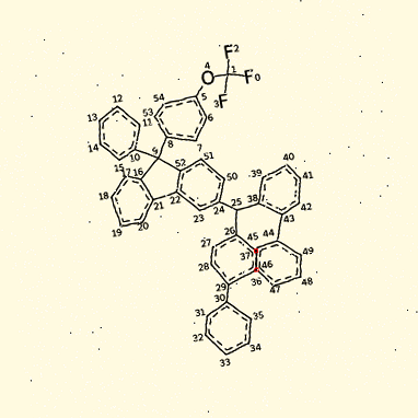 FC(F)(F)Oc1ccc(C2(c3ccccc3)c3ccccc3-c3cc(C(c4ccc(-c5ccccc5)cc4)c4ccccc4-c4ccccc4)ccc32)cc1